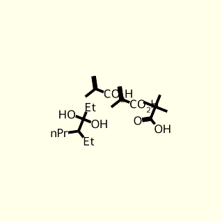 C=C(C)C(=O)O.C=C(C)C(=O)O.CC(C)(C)C(=O)O.CCCC(CC)C(O)(O)CC